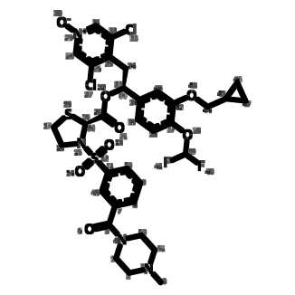 CN1CCN(C(=O)c2cccc(S(=O)(=O)N3CCS[C@H]3C(=O)O[C@@H](Cc3c(Cl)c[n+]([O-])cc3Cl)c3ccc(OC(F)F)c(OCC4CC4)c3)c2)CC1